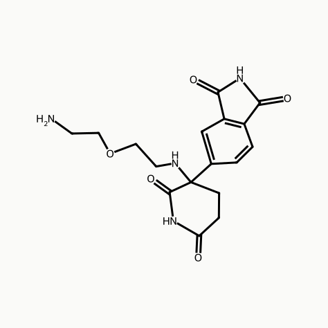 NCCOCCNC1(c2ccc3c(c2)C(=O)NC3=O)CCC(=O)NC1=O